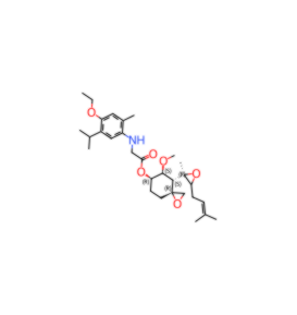 CCOc1cc(C)c(NCC(=O)O[C@@H]2CC[C@]3(CO3)[C@@H]([C@@]3(C)OC3CC=C(C)C)[C@@H]2OC)cc1C(C)C